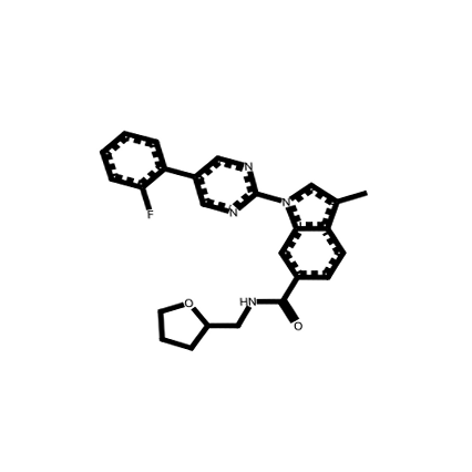 Cc1cn(-c2ncc(-c3ccccc3F)cn2)c2cc(C(=O)NCC3CCCO3)ccc12